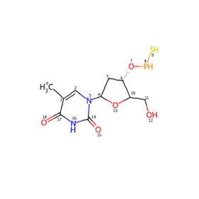 Cc1cn(C2C[C@H](OPS)C(CO)O2)c(=O)[nH]c1=O